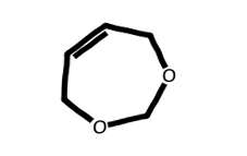 C1=CCOCOC1